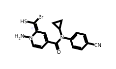 N#Cc1ccc(N(C(=O)C2=C/C(=C(/S)Br)N(N)C=C2)C2CC2)cc1